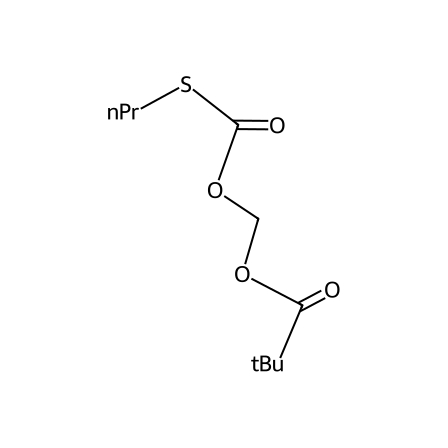 CCCSC(=O)OCOC(=O)C(C)(C)C